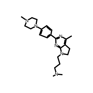 Cc1nc(-c2ccc(N3CCN(C)CC3)cc2)nc2c1CCN2CCCN(C)C